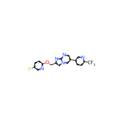 Fc1ccc(OCc2cn3cc(-c4ccc(C(F)(F)F)nc4)cnc3n2)nc1